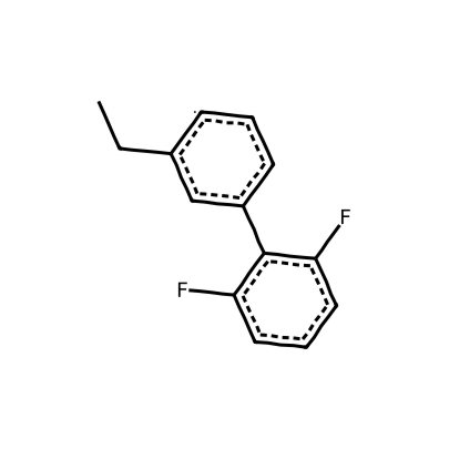 CCc1[c]ccc(-c2c(F)cccc2F)c1